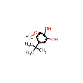 CC(C)(C)c1ccc(O)c(O)c1.CO